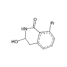 CC(C)c1cccc2c1C(=O)NC(O)C2